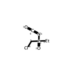 CCP(=O)(CCl)N=C=O